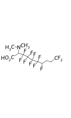 CN(C)C(C(=O)O)C(F)(F)C(F)(F)C(F)(F)C(F)(F)C(F)CCC(F)(F)F